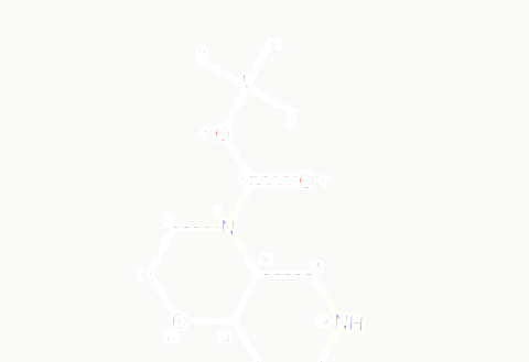 CC(C)(C)OC(=O)N1CCOC2CCNCC21